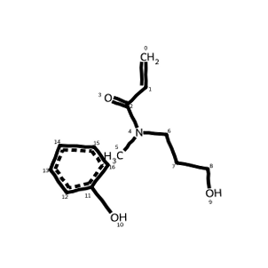 C=CC(=O)N(C)CCCO.Oc1ccccc1